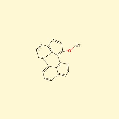 CC(C)Oc1ccc2cccc3c4cccc5cccc(c1c23)c54